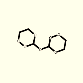 C1COC(OC2OCCOO2)OO1